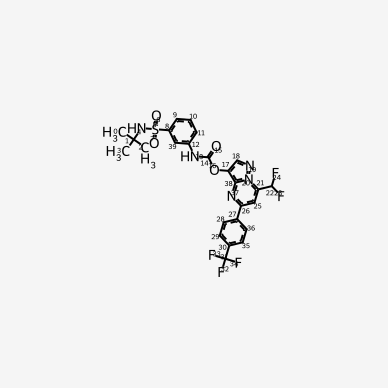 CC(C)(C)NS(=O)(=O)c1cccc(NC(=O)Oc2cnn3c(C(F)F)cc(-c4ccc(C(F)(F)F)cc4)nc23)c1